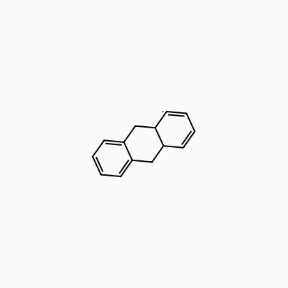 [C]1=CC=CC2Cc3ccccc3CC12